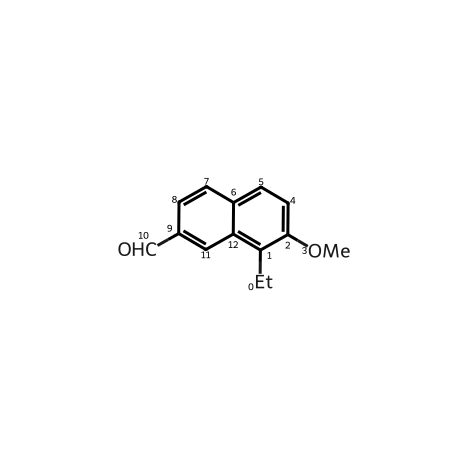 CCc1c(OC)ccc2ccc(C=O)cc12